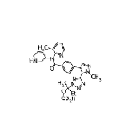 CC[C@](C)(OC(=O)O)n1nnc(-c2c(-c3ccc(C(=O)N(c4ncccc4C)[C@@H]4CCCNC4)cc3)cnn2C)n1